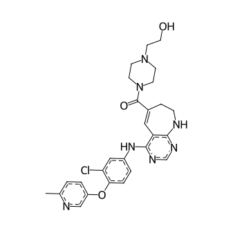 Cc1ccc(Oc2ccc(Nc3ncnc4c3C=C(C(=O)N3CCN(CCO)CC3)CCN4)cc2Cl)cn1